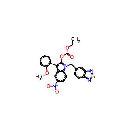 CCOC(=O)Oc1c(-c2ccccc2OC)c2cc([N+](=O)[O-])ccc2n1Cc1ccc2nsnc2c1